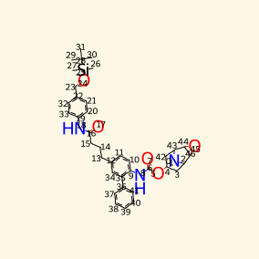 CN1C2CC(OC(=O)Nc3ccc(CCCC(=O)Nc4ccc(CO[Si](C)(C)C(C)(C)C)cc4)cc3-c3ccccc3)CC1C1OC12